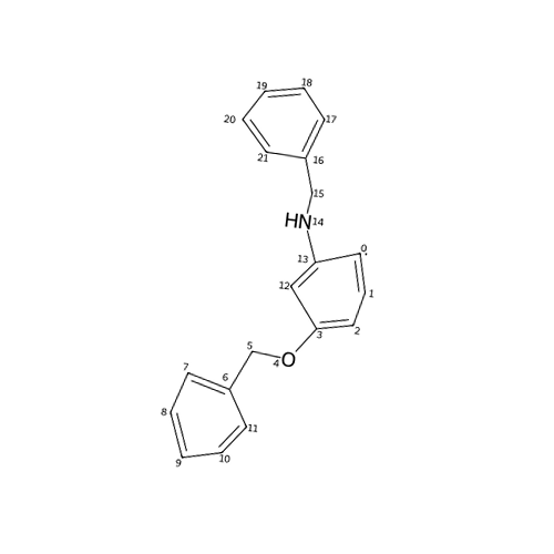 [c]1ccc(OCc2ccccc2)cc1NCc1ccccc1